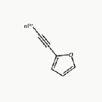 CCCC#Cc1ccco1